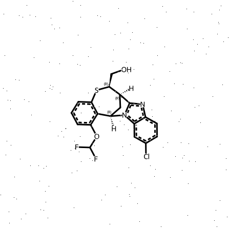 OC[C@@H]1Sc2cccc(OC(F)F)c2[C@H]2C[C@@H]1c1nc3ccc(Cl)cc3n12